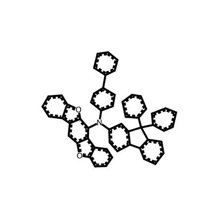 c1ccc(-c2ccc(N(c3ccc4c(c3)C(c3ccccc3)(c3ccccc3)c3ccccc3-4)c3c4oc5ccccc5c4cc4oc5ccccc5c34)cc2)cc1